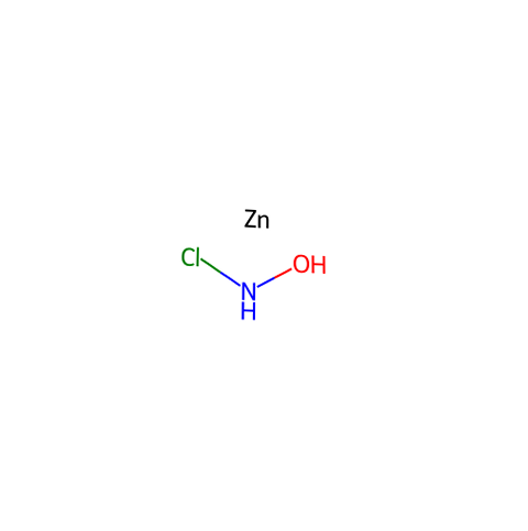 ONCl.[Zn]